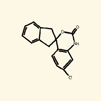 O=C1Nc2cc(Cl)ccc2C2(Cc3ccccc3C2)O1